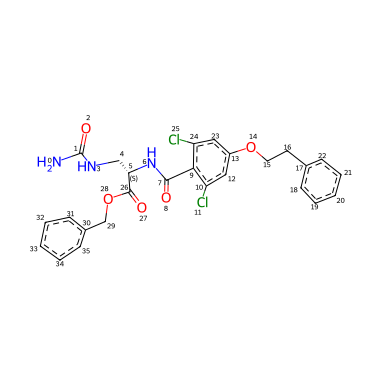 NC(=O)NC[C@H](NC(=O)c1c(Cl)cc(OCCc2ccccc2)cc1Cl)C(=O)OCc1ccccc1